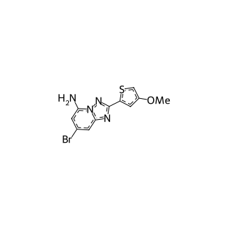 COc1csc(-c2nc3cc(Br)cc(N)n3n2)c1